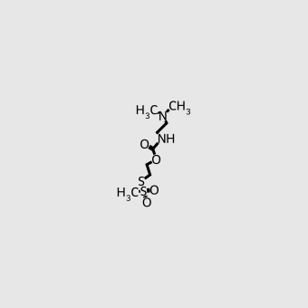 CN(C)CCNC(=O)OCCSS(C)(=O)=O